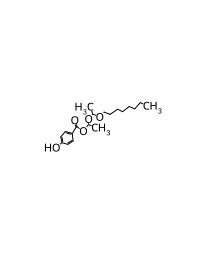 CCCCCCCCOC(C)OC(C)OC(=O)c1ccc(O)cc1